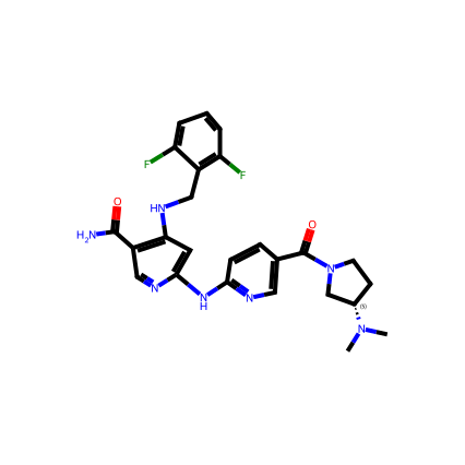 CN(C)[C@H]1CCN(C(=O)c2ccc(Nc3cc(NCc4c(F)cccc4F)c(C(N)=O)cn3)nc2)C1